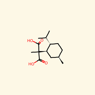 CC(C)[C@@H]1CC[C@@H](C)C[C@H]1C(C)(C(=O)O)C(=O)O